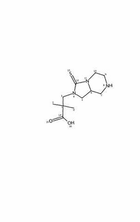 CC(C)(CN1CC2CNCCN2C1=S)C(=O)O